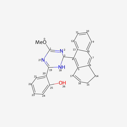 COC1=NC(c2c3c(cc4ccccc24)CCC=C3)NC(c2ccccc2O)=N1